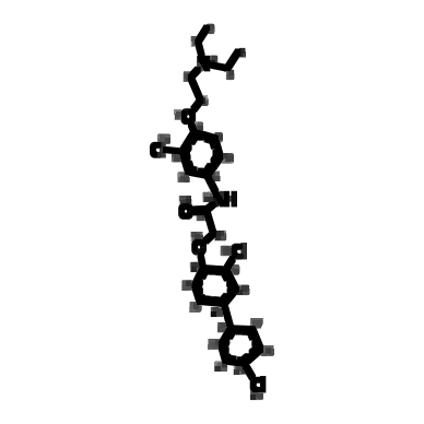 CCN(CC)CCOc1ccc(NC(=O)COc2ccc(-c3ccc(Cl)cc3)cc2Cl)cc1Cl